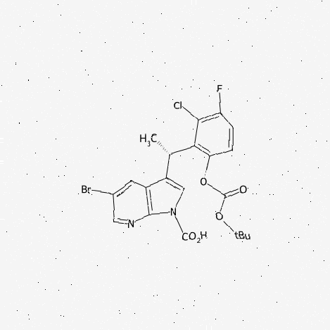 C[C@H](c1c(OC(=O)OC(C)(C)C)ccc(F)c1Cl)c1cn(C(=O)O)c2ncc(Br)cc12